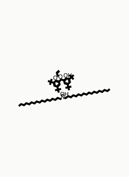 C=CC(=O)Oc1c(Cc2cc(C(C)(C)C)cc(C(C)(C)C)c2O)cc(C(C)(C)C)cc1C(C)(C)C.CCCCCCCCCCCCCCCCCCN(O)CCCCCCCCCCCCCCCCC